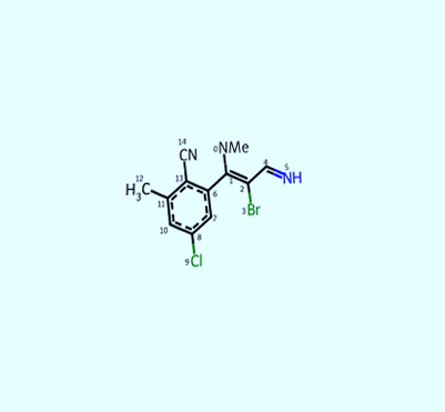 CN/C(=C(/Br)C=N)c1cc(Cl)cc(C)c1C#N